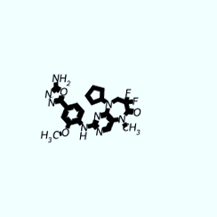 COc1cc(-c2nnc(N)o2)ccc1Nc1ncc2c(n1)N(C1CCCC1)CC(F)(F)C(=O)N2C